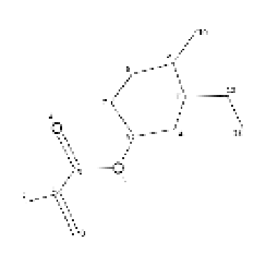 C=C(C)C(=O)OC1CCC(C)C(CC)C1